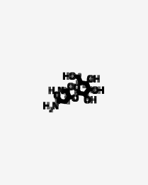 NC(=O)CC(O[C@@H]1OC(CO)[C@@H](O)C(O)C1O)C(N)=O